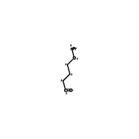 CCCOCCC[C]=O